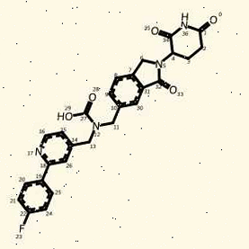 O=C1CCC(N2Cc3ccc(CN(Cc4ccnc(-c5ccc(F)cc5)c4)C(=O)O)cc3C2=O)C(=O)N1